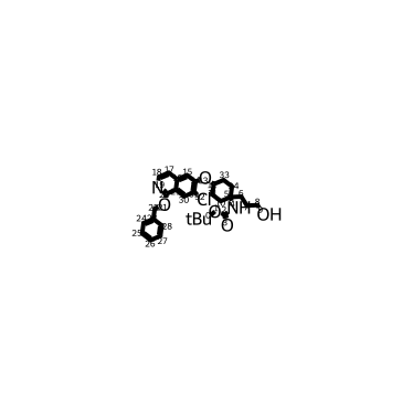 CC(C)(C)OC(=O)NC1(CCCO)CCC(Oc2cc3ccnc(OCc4ccccc4)c3cc2Cl)CC1